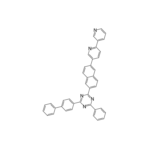 c1ccc(-c2ccc(-c3nc(-c4ccccc4)nc(-c4ccc5cc(-c6ccc(-c7cccnc7)nc6)ccc5c4)n3)cc2)cc1